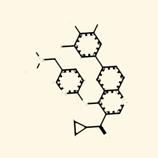 CN(C)Cc1ccc(Nc2c(C(=O)C3CC3)cnc3ccc(-c4cc(Cl)c(O)c(Cl)c4)cc23)nc1